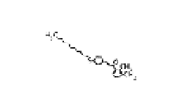 CCCCCCCCCCCSc1ccc(/C=C/C(=O)c2cccc(C)c2C)cc1